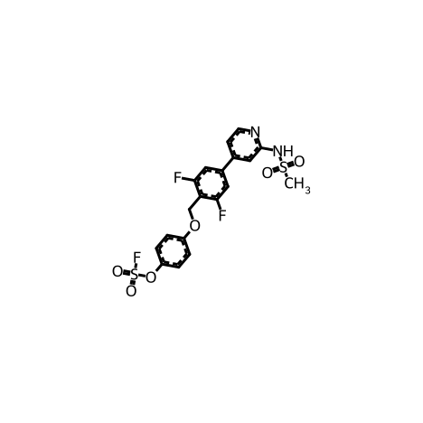 CS(=O)(=O)Nc1cc(-c2cc(F)c(COc3ccc(OS(=O)(=O)F)cc3)c(F)c2)ccn1